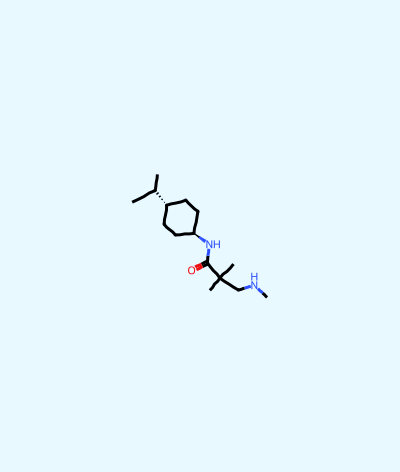 CNCC(C)(C)C(=O)N[C@H]1CC[C@H](C(C)C)CC1